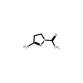 CC(=O)N1CCC(N)=N1